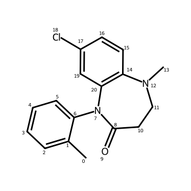 Cc1ccccc1N1C(=O)CCN(C)c2ccc(Cl)cc21